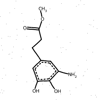 COC(=O)CCc1cc(N)c(O)c(O)c1